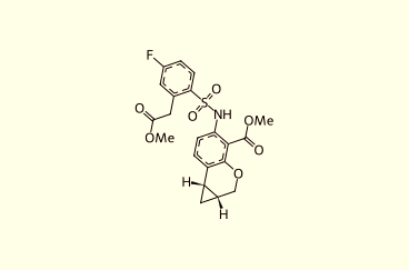 COC(=O)Cc1cc(F)ccc1S(=O)(=O)Nc1ccc2c(c1C(=O)OC)OC[C@@H]1C[C@H]21